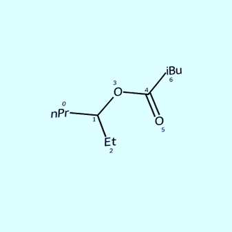 CCCC(CC)OC(=O)C(C)CC